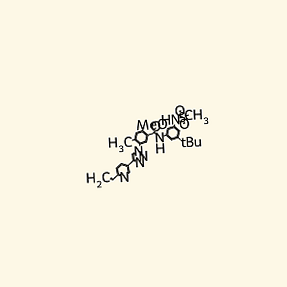 C=Cc1ccc(-c2cn(-c3cc(C(=O)Nc4cc(C(C)(C)C)cc(NS(C)(=O)=O)c4OC)ccc3C)nn2)cn1